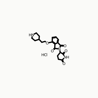 Cl.O=C1CCC(N2C(=O)c3cccc(OCCC4CCNCC4)c3C2=O)C(=O)N1